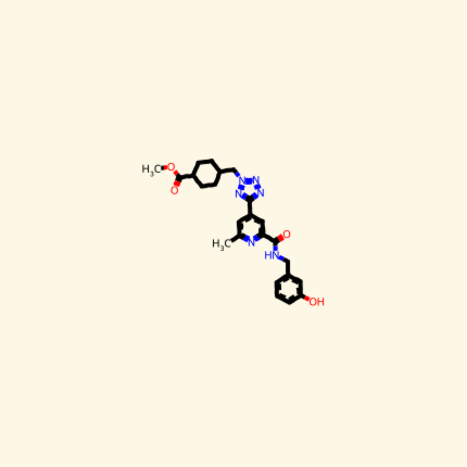 COC(=O)C1CCC(Cn2nnc(-c3cc(C)nc(C(=O)NCc4cccc(O)c4)c3)n2)CC1